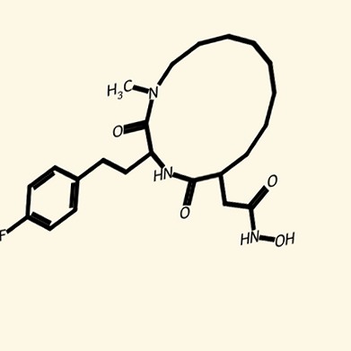 CN1CCCCCCCCC(CC(=O)NO)C(=O)NC(CCc2ccc(F)cc2)C1=O